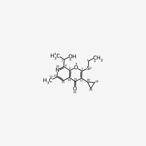 CCSc1oc2c(C(C)O)nc(C)cc2c(=O)c1C1CC1